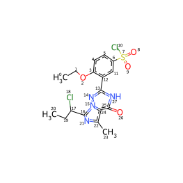 CCOc1ccc(S(=O)(=O)Cl)cc1-c1nn2c(C(Cl)CC)nc(C)c2c(=O)[nH]1